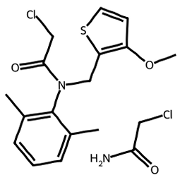 COc1ccsc1CN(C(=O)CCl)c1c(C)cccc1C.NC(=O)CCl